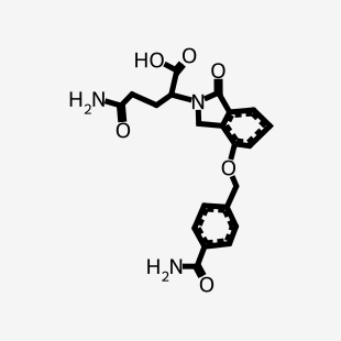 NC(=O)CCC(C(=O)O)N1Cc2c(OCc3ccc(C(N)=O)cc3)cccc2C1=O